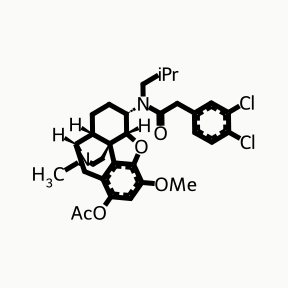 COc1cc(OC(C)=O)c2c3c1O[C@H]1[C@@H](N(CC(C)C)C(=O)Cc4ccc(Cl)c(Cl)c4)CC[C@H]4[C@@H](C2)N(C)CC[C@@]341